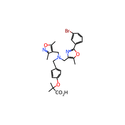 Cc1noc(C)c1CN(Cc1ccc(OC(C)(C)C(=O)O)cc1)Cc1nc(-c2cccc(Br)c2)oc1C